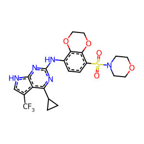 O=S(=O)(c1ccc(Nc2nc(C3CC3)c3c(C(F)(F)F)c[nH]c3n2)c2c1OCCO2)N1CCOCC1